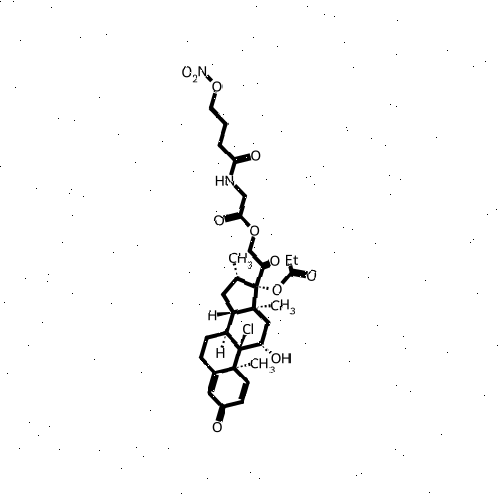 CCC(=O)O[C@@]1(C(=O)COC(=O)CNC(=O)CCCO[N+](=O)[O-])[C@@H](C)C[C@H]2[C@@H]3CCC4=CC(=O)C=C[C@]4(C)[C@@]3(Cl)[C@@H](O)C[C@@]21C